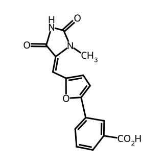 CN1C(=O)NC(=O)C1=Cc1ccc(-c2cccc(C(=O)O)c2)o1